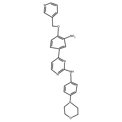 Nc1cc(-c2ccnc(Nc3ccc(N4CCOCC4)cc3)n2)ccc1OCc1cccnc1